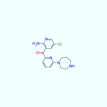 Nc1ncc(Cl)cc1C(=O)c1cccc(N2CCCNCC2)n1